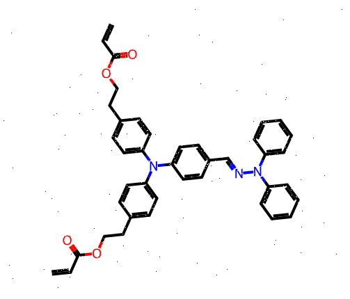 C=CC(=O)OCCc1ccc(N(c2ccc(C=NN(c3ccccc3)c3ccccc3)cc2)c2ccc(CCOC(=O)C=C)cc2)cc1